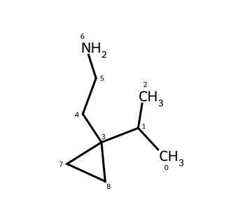 CC(C)C1(CCN)CC1